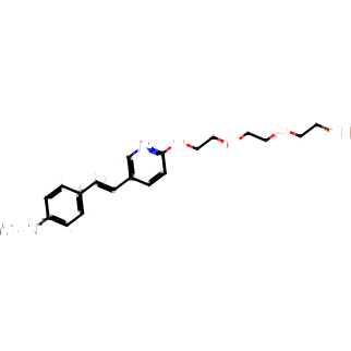 CNc1ccc(/C=C/c2ccc(OCCOCCOCCS)nc2)cc1